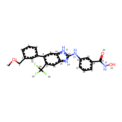 COCc1cccc(-c2cc3[nH]c(Nc4cccc(C(=O)NO)c4)nc3cc2C(F)(F)F)c1